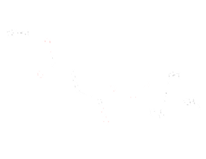 CCCCCOC(=O)/C=C/C(=O)OOOC(C)(C)CCC